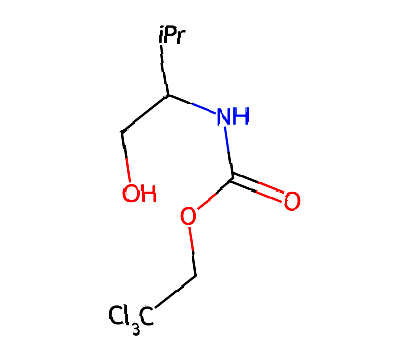 CC(C)C(CO)NC(=O)OCC(Cl)(Cl)Cl